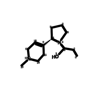 CCC(O)N1CCC[C@H]1C1=CCN(C)CC1